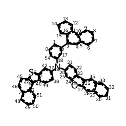 c1cc(-c2cc3ccccc3c3ccccc23)cc(N(c2ccc3c(c2)oc2cc4ccccc4cc23)c2ccc3c(c2)sc2ccc4ccccc4c23)c1